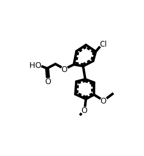 COc1ccc(-c2cc(Cl)ccc2OCC(=O)O)cc1OC